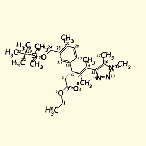 CCOC(=O)C[C@@H](/C(C)=C(\C)c1nnn(C)c1C)c1ccc(C)c(CO[Si](C)(C)C(C)(C)C)c1